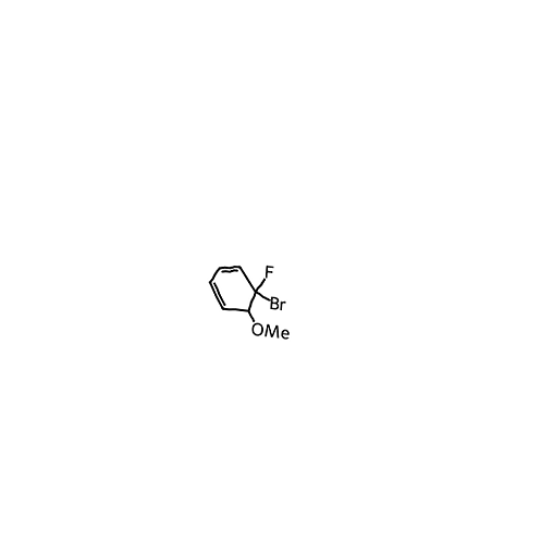 COC1C=CC=CC1(F)Br